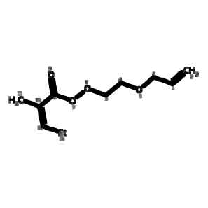 C=CCOCCOOC(=O)C(C)=CCC